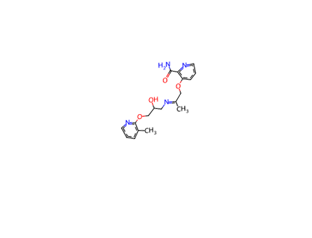 CC(COc1cccnc1C(N)=O)=NCC(O)COc1ncccc1C